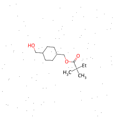 CCC(C)(C)C(=O)OCC1CCC(CO)CC1